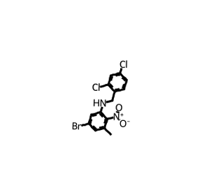 Cc1cc(Br)cc(NCc2ccc(Cl)cc2Cl)c1[N+](=O)[O-]